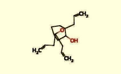 C=CCC12CCC(CC1O)C(CC=C)(CC=C)O2